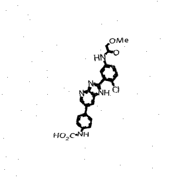 COCC(=O)Nc1ccc(Cl)c(-c2nc3ncc(-c4ccc(NC(=O)O)cc4)cc3[nH]2)c1